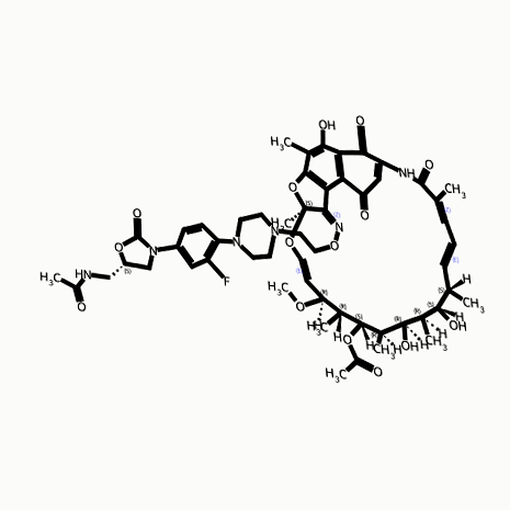 CO[C@H]1/C=C/O[C@@]2(C)Oc3c(C)c(O)c4c(c3/C2=N/OCCN2CCN(c3ccc(N5C[C@H](CNC(C)=O)OC5=O)cc3F)CC2)C(=O)C=C(NC(=O)/C(C)=C\C=C\[C@H](C)[C@H](O)[C@@H](C)[C@@H](O)[C@@H](C)[C@H](OC(C)=O)[C@@H]1C)C4=O